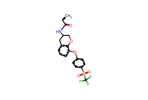 C=CC(=O)NC1COc2c(cccc2Oc2ccc(S(=O)(=O)C(F)(F)F)cc2)C1